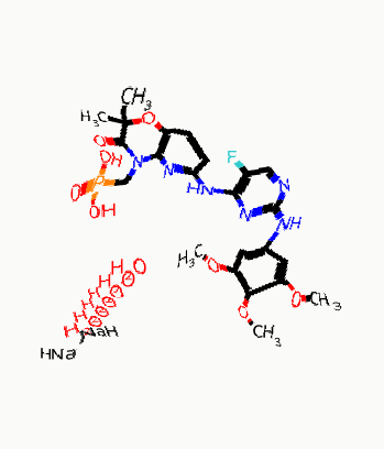 COc1cc(Nc2ncc(F)c(Nc3ccc4c(n3)N(CP(=O)(O)O)C(=O)C(C)(C)O4)n2)cc(OC)c1OC.O.O.O.O.O.O.[NaH].[NaH]